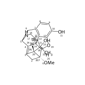 CO[C@@]12CC(=C3C4Cc5ccc(O)c6c5[C@@]3(CCN4)[C@H]1O6)[C@@H]2C(C)(O)C(C)(C)C